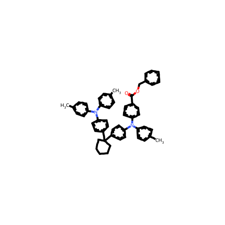 Cc1ccc(N(c2ccc(C)cc2)c2ccc(C3(c4ccc(N(c5ccc(C)cc5)c5ccc(C(=O)OCc6ccccc6)cc5)cc4)CCCCC3)cc2)cc1